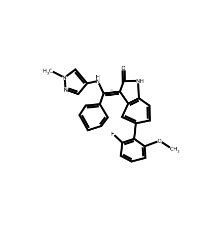 COc1cccc(F)c1-c1ccc2c(c1)/C(=C(/Nc1cnn(C)c1)c1ccccc1)C(=O)N2